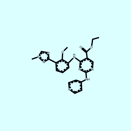 CCOC(=O)c1cnc(Nc2ccncc2)nc1Nc1cccc(-c2ncn(C)n2)c1OC